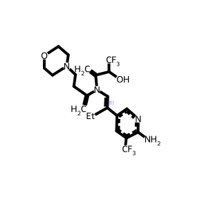 C=C(CCN1CCOCC1)N(/C=C(\CC)c1cnc(N)c(C(F)(F)F)c1)C(=C)C(O)C(F)(F)F